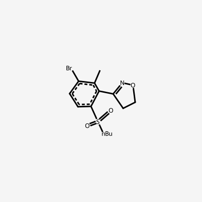 CCCCS(=O)(=O)c1ccc(Br)c(C)c1C1=NOCC1